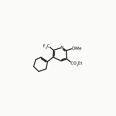 CCOC(=O)c1cc(C2=CCCCC2)c(C(F)(F)F)nc1OC